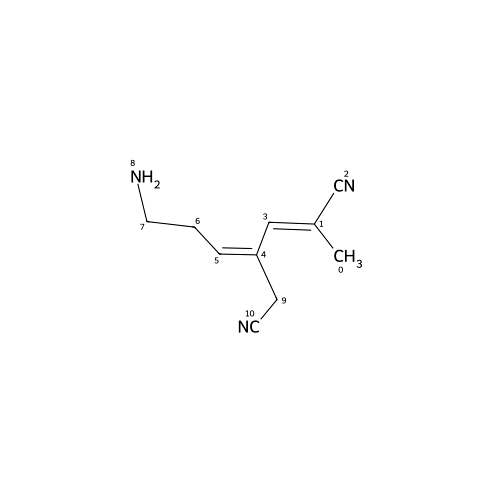 C/C(C#N)=C\C(=C/CCN)CC#N